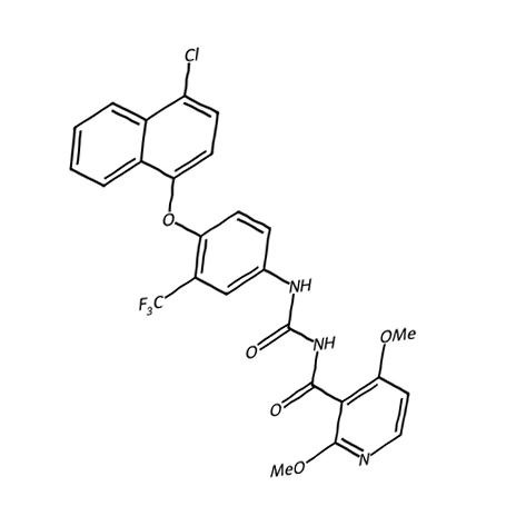 COc1ccnc(OC)c1C(=O)NC(=O)Nc1ccc(Oc2ccc(Cl)c3ccccc23)c(C(F)(F)F)c1